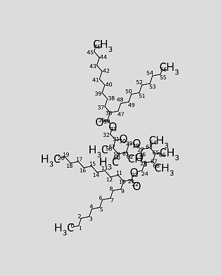 CCCCCCCCCCC(CCCCCCCCCC)C(=O)OCC1O[C@H](O[C@H]2OC(COC(=O)C(CCCCCCCCCC)CCCCCCCCCC)[C@@H](C)[C@H](C)C2C)C(C)[C@@H](C)[C@@H]1C